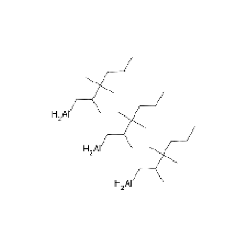 CCCC(C)(C)C(C)[CH2][AlH2].CCCC(C)(C)C(C)[CH2][AlH2].CCCC(C)(C)C(C)[CH2][AlH2]